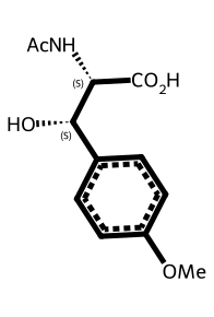 COc1ccc([C@H](O)[C@H](NC(C)=O)C(=O)O)cc1